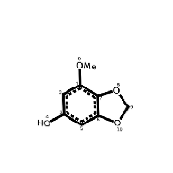 COc1cc(O)cc2c1OCO2